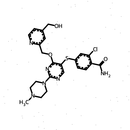 CN1CCN(c2ncc(Sc3ccc(C(N)=O)c(Cl)c3)c(OCc3cc(CO)ccn3)n2)CC1